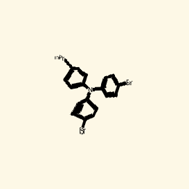 CCCc1ccc(N(c2ccc(Br)cc2)c2ccc(Br)cc2)cc1